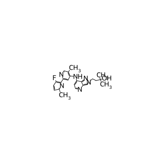 Cc1ccc(F)c(-c2cc(Nc3ccnc4cn(CCC(C)(C)O)nc34)c(C)cn2)n1